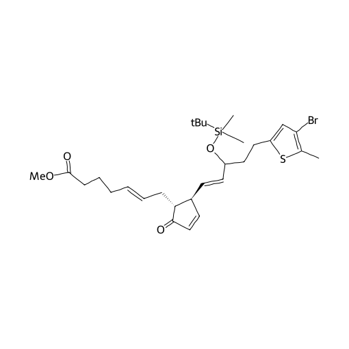 COC(=O)CCCC=CC[C@H]1C(=O)C=C[C@@H]1C=CC(CCc1cc(Br)c(C)s1)O[Si](C)(C)C(C)(C)C